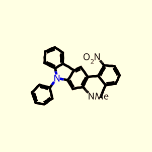 CNc1cc2c(cc1-c1c(C)cccc1[N+](=O)[O-])c1ccccc1n2-c1ccccc1